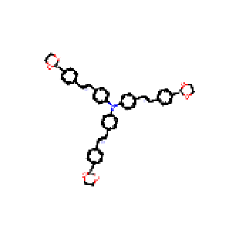 C(=C\c1ccc(N(c2ccc(/C=C/c3ccc(B4OCCO4)cc3)cc2)c2ccc(/C=C/c3ccc(B4OCCO4)cc3)cc2)cc1)/c1ccc(B2OCCO2)cc1